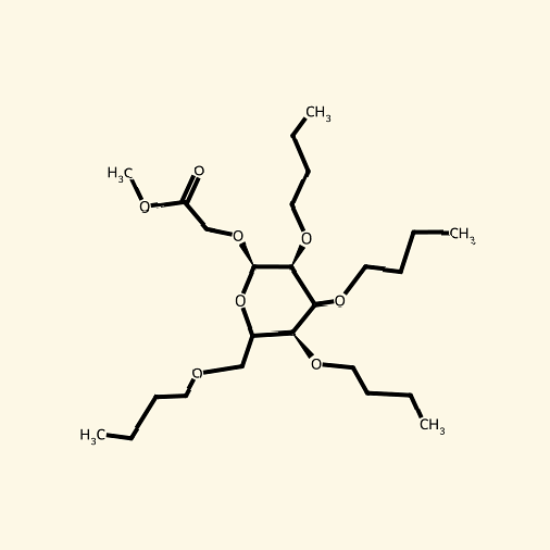 CCCCOCC1O[C@@H](OCC(=O)OC)[C@@H](OCCCC)C(OCCCC)[C@H]1OCCCC